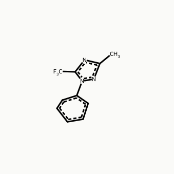 Cc1nc(C(F)(F)F)n(-c2ccccc2)n1